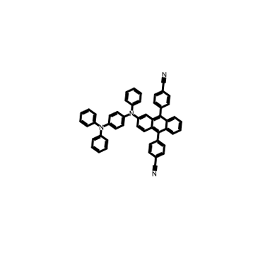 N#Cc1ccc(-c2c3ccccc3c(-c3ccc(C#N)cc3)c3cc(N(c4ccccc4)c4ccc(N(c5ccccc5)c5ccccc5)cc4)ccc23)cc1